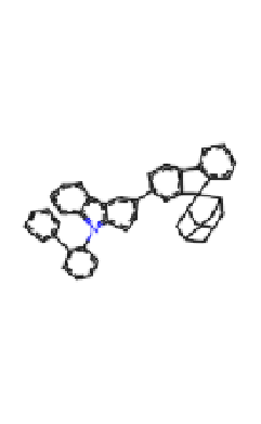 c1ccc(-c2ccccc2-n2c3ccccc3c3cc(-c4ccc5c(c4)C4(c6ccccc6-5)C5CC6CC(C5)CC4C6)ccc32)cc1